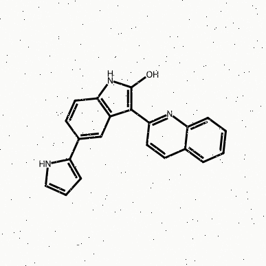 Oc1[nH]c2ccc(-c3ccc[nH]3)cc2c1-c1ccc2ccccc2n1